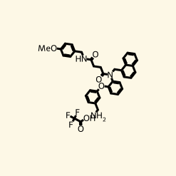 COc1ccc(CNC(=O)CCC(=O)N(Cc2cccc3ccccc23)c2ccccc2Oc2cccc(CN)c2)cc1.O=C(O)C(F)(F)F